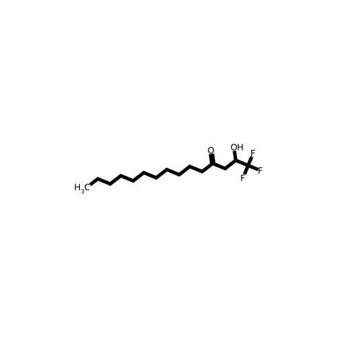 CCCCCCCCCCCC(=O)CC(O)C(F)(F)F